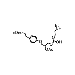 CCCCCCCCCCCCc1ccc(OCC(COP(O)OCCNCC)OC(C)=O)cc1